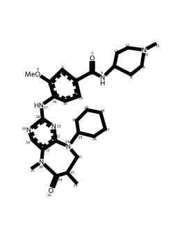 COc1cc(C(=O)NC2CCN(C)CC2)ccc1Nc1ncc2c(n1)N(C1CCCCC1)CC(C)C(=O)N2C